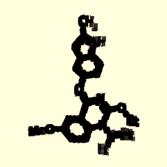 CCOC1=NC(Oc2ccc3[nH]c(C)cc3c2)c2cc(OC)ccc2N1N(CC)CC